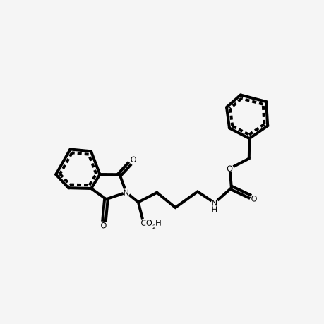 O=C(NCCCC(C(=O)O)N1C(=O)c2ccccc2C1=O)OCc1ccccc1